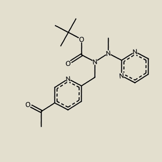 CC(=O)c1ccc(CN(C(=O)OC(C)(C)C)N(C)c2ncccn2)nc1